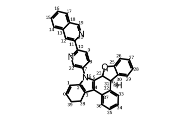 C1=Cc2c(c3c(n2-c2ccc(-c4cc5ccccc5cn4)nc2)C2Oc4ccccc4[C@H]2c2ccccc2-3)CC1